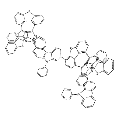 c1ccc(-c2nc(-c3ccc4c(c3)c3ccc(-c5ccc(-c6nc(-c7ccccc7)nc(-c7ccc8c9ccccc9n(-c9ccccc9)c8c7)n6)c6c5sc5cccc(-c7nc(-c8ccccc8)c8sc9ccccc9c8n7)c56)cc3n4-c3ccccc3)nc(-c3cccc4sc5cccc(-c6nc(-c7ccccc7)c7sc8ccccc8c7n6)c5c34)n2)cc1